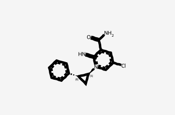 N=c1c(C(N)=O)cc(Cl)cn1[C@H]1C[C@@H]1c1ccccc1